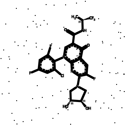 C[C@@H](NC(=O)c1cn(-c2c(F)cc(F)cc2Cl)c2nc(N3C[C@@H](O)[C@H](O)C3)c(F)cc2c1=O)C(F)(F)F